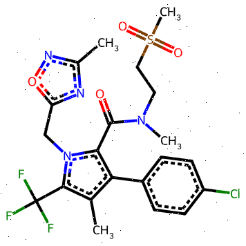 Cc1noc(Cn2c(C(=O)N(C)CCS(C)(=O)=O)c(-c3ccc(Cl)cc3)c(C)c2C(F)(F)F)n1